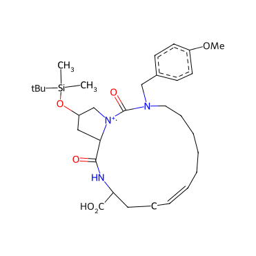 COc1ccc(CN2CCCCCC=CCCC(C(=O)O)NC(=O)C3CC(O[Si](C)(C)C(C)(C)C)C[N+]3C2=O)cc1